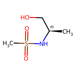 C[C@H](CO)NS(C)(=O)=O